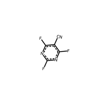 N#Cc1c(F)nc(F)nc1F